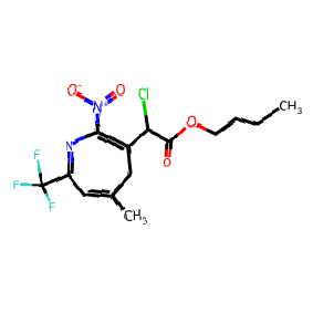 CCCCOC(=O)C(Cl)C1=C([N+](=O)[O-])N=C(C(F)(F)F)C=C(C)C1